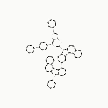 C1=C(c2ccccc2)SC2=C(c3ccc(-c4ccccc4)cc3)N=C(n3c4ccc(-c5cccc6c5c5c7ccccc7ccc5n6-c5ccccc5)cc4c4c5ccccc5ccc43)NC12